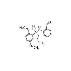 CCCC(C)(Pc1ccccc1C=O)c1cc(OC)ccc1OC